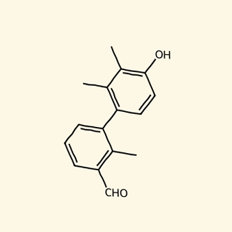 Cc1c(C=O)cccc1-c1ccc(O)c(C)c1C